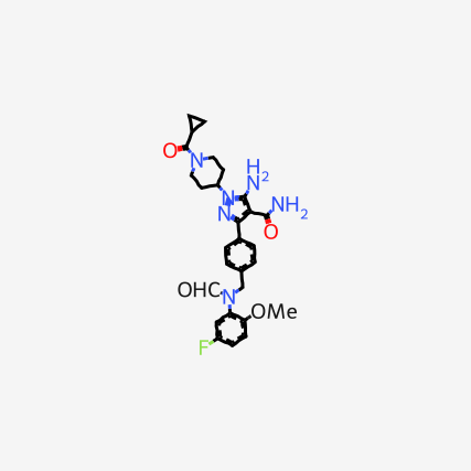 COc1ccc(F)cc1N(C=O)Cc1ccc(-c2nn(C3CCN(C(=O)C4CC4)CC3)c(N)c2C(N)=O)cc1